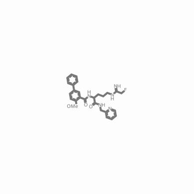 COc1ccc(-c2ccccc2)cc1C(=O)NC(CCCNC(=N)CF)C(=O)NCc1ccccn1